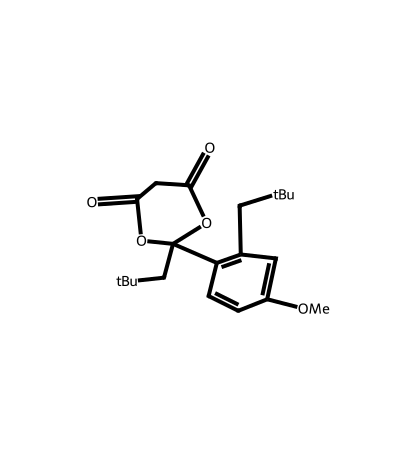 COc1ccc(C2(CC(C)(C)C)OC(=O)CC(=O)O2)c(CC(C)(C)C)c1